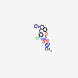 Cn1cnc(S(=O)(=O)NCCOc2ccc3c(c2)C(Cc2cccc(Cl)c2)C(N2CCCC2)CC3)c1